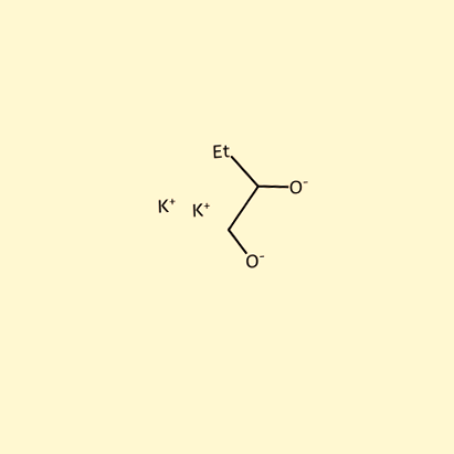 CCC([O-])C[O-].[K+].[K+]